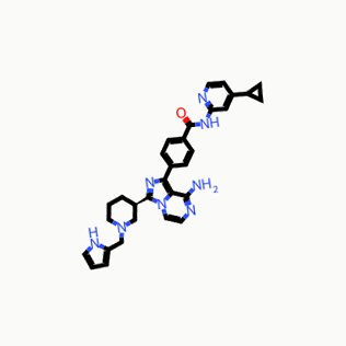 Nc1nccn2c([C@@H]3CCCN(Cc4ccc[nH]4)C3)nc(-c3ccc(C(=O)Nc4cc(C5CC5)ccn4)cc3)c12